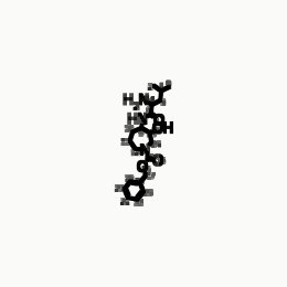 CC(C)CC(N)C(=O)NC1CCCN(C(=O)OCc2ccccc2)CC1O